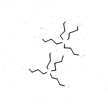 CCC[CH2][Al-]([CH2]CCC)([CH2]CCC)[CH2]CCC.CCC[CH2][Al-]([CH2]CCC)([CH2]CCC)[CH2]CCC.[Mg+2]